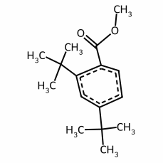 COC(=O)c1ccc(C(C)(C)C)cc1C(C)(C)C